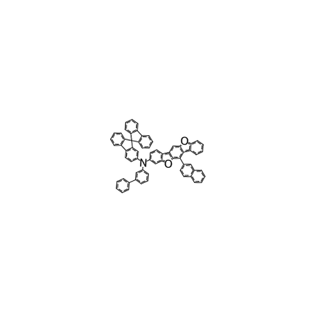 c1ccc(-c2cccc(N(c3ccc4c(c3)C3(c5ccccc5-c5ccccc53)c3ccccc3-4)c3ccc4c(c3)oc3c(-c5ccc6ccccc6c5)c5c(cc34)oc3ccccc35)c2)cc1